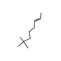 [CH2]C=CCCCC(C)(C)C